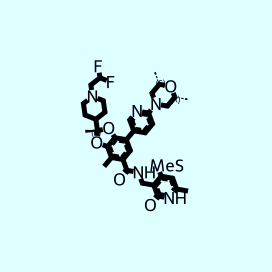 CSc1cc(C)[nH]c(=O)c1CNC(=O)c1cc(-c2ccc(N3C[C@@H](C)O[C@@H](C)C3)nc2)c2c(c1C)O[C@](C)(C1CCN(CC(F)F)CC1)O2